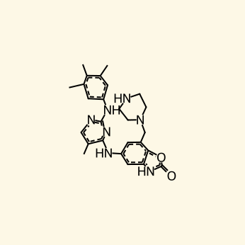 Cc1cnc(Nc2cc(C)c(C)c(C)c2)nc1Nc1cc(CN2CCNCC2)c2oc(=O)[nH]c2c1